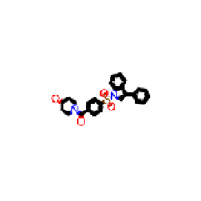 O=C1CCN(C(=O)c2ccc(S(=O)(=O)n3cc(-c4ccccc4)c4ccccc43)cc2)CC1